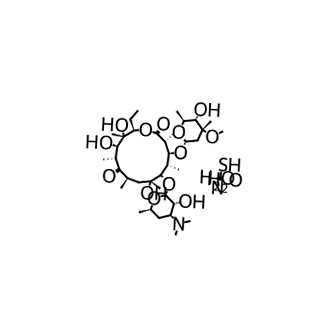 CC[C@H]1OC(=O)[C@H](C)[C@@H](O[C@H]2C[C@@](C)(OC)[C@@H](O)[C@H](C)O2)[C@H](C)[C@@H](O[C@@H]2O[C@H](C)C[C@H](N(C)C)[C@H]2O)[C@](C)(O)C[C@@H](C)C(=O)[C@H](C)[C@@H](O)[C@]1(C)O.N#CS.O.O